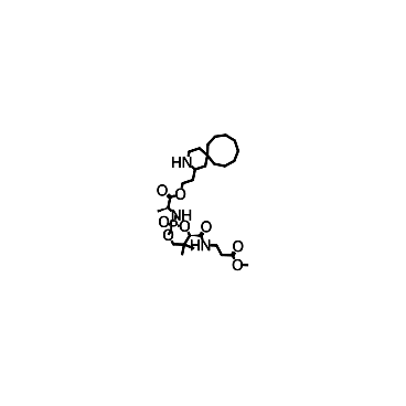 COC(=O)CCNC(=O)[C@@H]1OP(=O)(N[C@@H](C)C(=O)OCCC2CC3(CCCCCCCC3)CCN2)OCC1(C)C